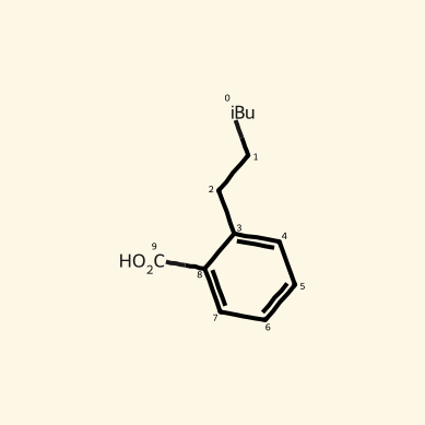 CCC(C)CCc1ccccc1C(=O)O